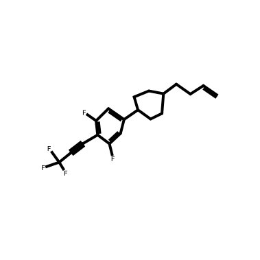 C=CCCC1CCC(c2cc(F)c(C#CC(F)(F)F)c(F)c2)CC1